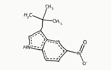 CC(C)(C)c1c[nH]c2ccc([N+](=O)[O-])cc12